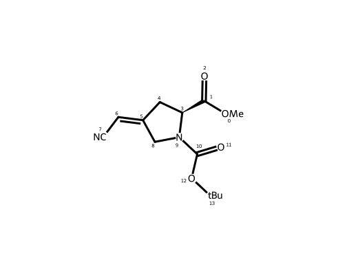 COC(=O)[C@@H]1C/C(=C/C#N)CN1C(=O)OC(C)(C)C